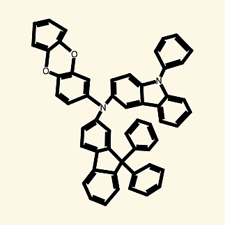 c1ccc(-n2c3ccccc3c3cc(N(c4ccc5c(c4)Oc4ccccc4O5)c4ccc5c(c4)C(c4ccccc4)(c4ccccc4)c4ccccc4-5)ccc32)cc1